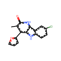 Cc1c(-c2ccco2)c2[nH]c3ccc(Cl)cc3c2[nH]c1=O